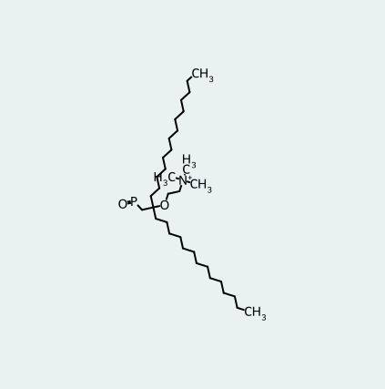 CCCCCCCCCCCCCCC(CCCCCCCCCCCCCC)(CP=O)OCC[N+](C)(C)C